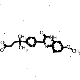 COc1ccc2nc(-c3ccc(C(C)(C)CCC(=O)O)cc3)c(=O)[nH]c2c1